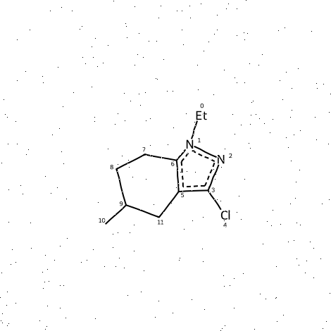 CCn1nc(Cl)c2c1CCC(C)C2